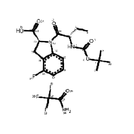 CC[C@H](NC(=O)OC(C)(C)C)C(=O)N1c2cccc(F)c2C[C@H]1C(=O)O.NC(=O)C(F)(F)F